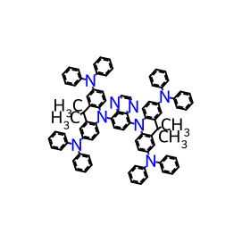 CC1(C)c2cc(N(c3ccccc3)c3ccccc3)ccc2N(c2ccc(N3c4ccc(N(c5ccccc5)c5ccccc5)cc4C(C)(C)c4cc(N(c5ccccc5)c5ccccc5)ccc43)c3nccnc23)c2ccc(N(c3ccccc3)c3ccccc3)cc21